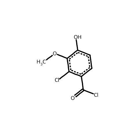 COc1c(O)ccc(C(=O)Cl)c1Cl